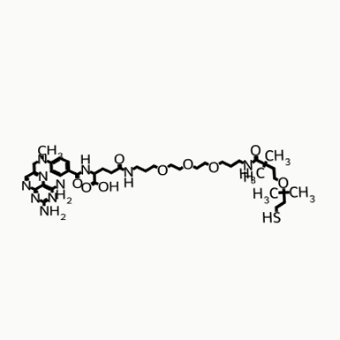 CN(Cc1cnc2nc(N)nc(N)c2n1)c1ccc(C(=O)NC(CCC(=O)NCCCOCCOCCOCCCNC(=O)C(C)(C)CCOC(C)(C)CCS)C(=O)O)cc1